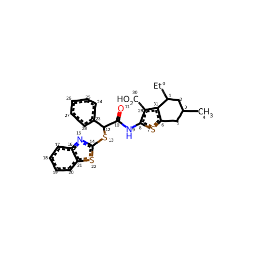 CCC1CC(C)Cc2sc(NC(=O)C(Sc3nc4ccccc4s3)c3ccccc3)c(C(=O)O)c21